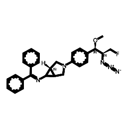 CO[C@H](c1ccc(N2CC3C(N=C(c4ccccc4)c4ccccc4)[C@@H]3C2)cc1)[C@@H](CF)N=[N+]=[N-]